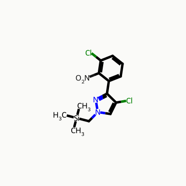 C[Si](C)(C)Cn1cc(Cl)c(-c2cccc(Cl)c2[N+](=O)[O-])n1